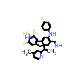 C=C(c1cc(C)ccn1)C1(Cc2cc(F)cc(F)c2)CC(C=N)=C(Nc2ccc(F)cc2)C=C1CCNS